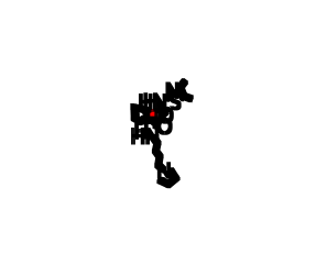 Cc1nc(NC(=O)[C@H]2[C@H](C(=O)NCCCCN3CCCC3)[C@H]3C=C[C@@H]2C32CC2)sc1C